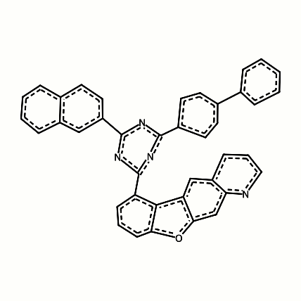 c1ccc(-c2ccc(-c3nc(-c4ccc5ccccc5c4)nc(-c4cccc5oc6cc7ncccc7cc6c45)n3)cc2)cc1